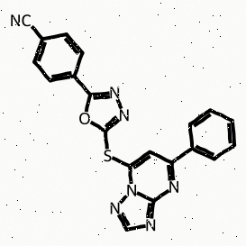 N#Cc1ccc(-c2nnc(Sc3cc(-c4ccccc4)nc4ncnn34)o2)cc1